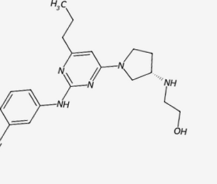 CCCc1cc(N2CC[C@H](NCCO)C2)nc(Nc2cccc(C#N)c2)n1